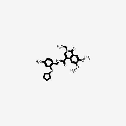 CCn1cc(C(=O)NCc2ccc(C)cc2OC2CCCC2)c2cc(OC)c(OC)cc2c1=O